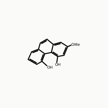 COc1cc(O)c2c(ccc3cccc(O)c32)c1